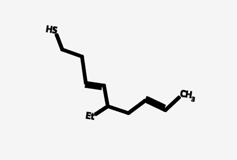 C/C=C/CC(/C=C/CCS)CC